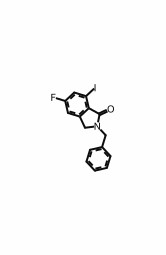 O=C1c2c(I)cc(F)cc2CN1Cc1ccccc1